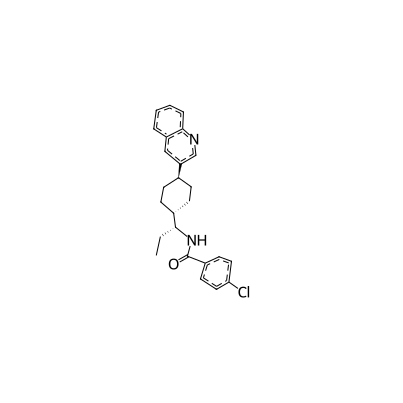 CC[C@@H](NC(=O)c1ccc(Cl)cc1)[C@H]1CC[C@H](c2cnc3ccccc3c2)CC1